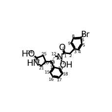 O=C(Cc1ccc(Br)cc1)N(O)C[C@H](c1ccccc1)C1CNC(O)C1